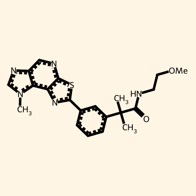 COCCNC(=O)C(C)(C)c1cccc(-c2nc3c(ncc4ncn(C)c43)s2)c1